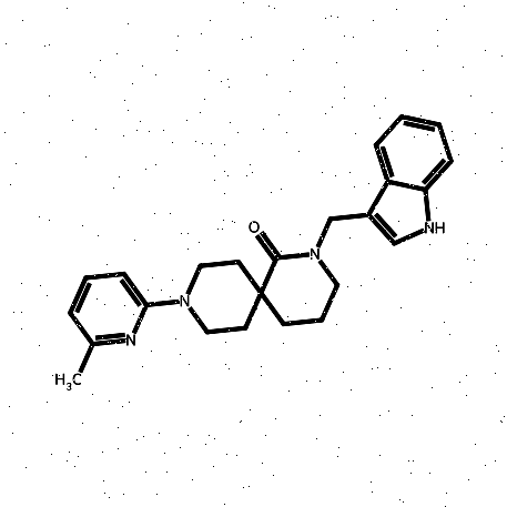 Cc1cccc(N2CCC3(CCCN(Cc4c[nH]c5ccccc45)C3=O)CC2)n1